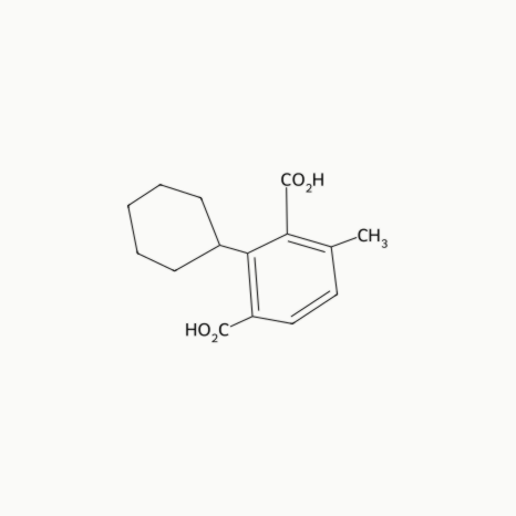 Cc1ccc(C(=O)O)c(C2CCCCC2)c1C(=O)O